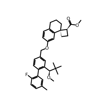 COC(=O)[C@H]1CC[C@]12CCCc1ccc(OCc3ccc(-c4cc(C)ccc4F)c([C@H](OC)C(C)(C)C)c3)cc12